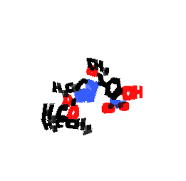 COCC(NC[C@@H](C)NC(=O)OC(C)(C)C)c1ccc(O)c([N+](=O)[O-])c1